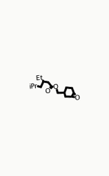 CCC(CC(=O)OCC1CCC2OC2C1)CC(C)C